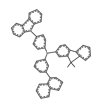 CC1(C)c2ccccc2-c2ccc(N(c3ccc(-n4c5ccccc5c5ccccc54)cc3)c3cccc(-c4cccc5ccccc45)c3)cc21